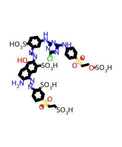 Nc1ccc2c(O)c(/N=N/c3cc(Nc4nc(Cl)nc(Nc5ccc(S(=O)(=O)CCOS(=O)(=O)O)cc5)n4)ccc3S(=O)(=O)O)c(S(=O)(=O)O)cc2c1/N=N/c1ccc(S(=O)(=O)CCS(=O)(=O)O)cc1S(=O)(=O)O